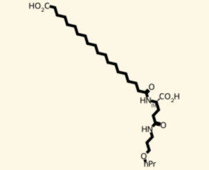 CCCOCCCNC(=O)CC[C@H](NC(=O)CCCCCCCCCCCCCCCCCCC(=O)O)C(=O)O